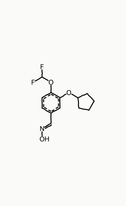 ON=Cc1ccc(OC(F)F)c(OC2CCCC2)c1